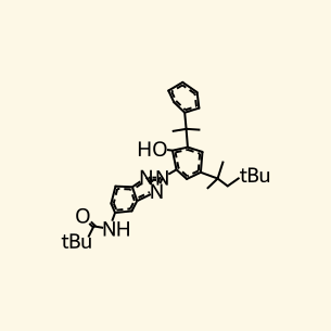 CC(C)(C)CC(C)(C)c1cc(-n2n3c4ccc(NC(=O)C(C)(C)C)cc4n23)c(O)c(C(C)(C)c2ccccc2)c1